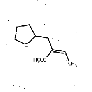 C/C=C(/CC1CCCO1)C(=O)O